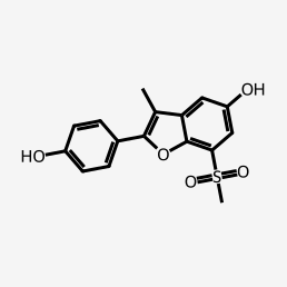 Cc1c(-c2ccc(O)cc2)oc2c(S(C)(=O)=O)cc(O)cc12